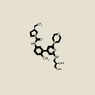 Cc1ccc(NC(=O)N2CC[C@@H](CC(F)(F)F)C2)cc1-c1cc(NC[C@@H](O)CO)nc(N2CCOCC2)c1